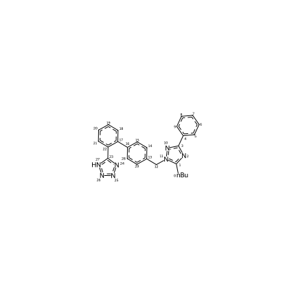 CCCCc1nc(-c2ccccc2)nn1Cc1ccc(-c2ccccc2-c2nnn[nH]2)cc1